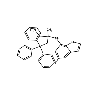 CC(CN)(CC(c1ccccc1)(c1ccccc1)c1ccccc1)Nc1cc(F)cc2ccoc12